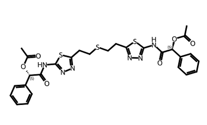 CC(=O)O[C@H](C(=O)Nc1nnc(CCSCCc2nnc(NC(=O)[C@@H](OC(C)=O)c3ccccc3)s2)s1)c1ccccc1